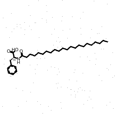 CCCCCCCCCCCCCCCCCCCCCC(=O)N[C@@H](Cc1ccccc1)C(=O)O